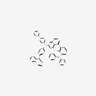 c1ccc(-c2ccc(N(c3ccc(-c4cccc5ccccc45)cc3)c3cc4c5c(cccc5c3)-c3cccc(N(c5ccccc5)c5ccccc5)c3O4)cc2)cc1